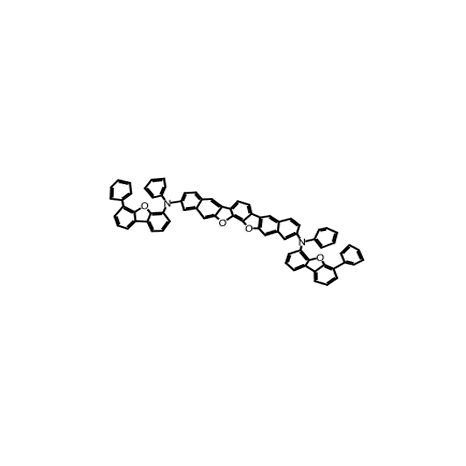 c1ccc(-c2cccc3c2oc2c(N(c4ccccc4)c4ccc5cc6c(cc5c4)oc4c6ccc5c6cc7ccc(N(c8ccccc8)c8cccc9c8oc8c(-c%10ccccc%10)cccc89)cc7cc6oc54)cccc23)cc1